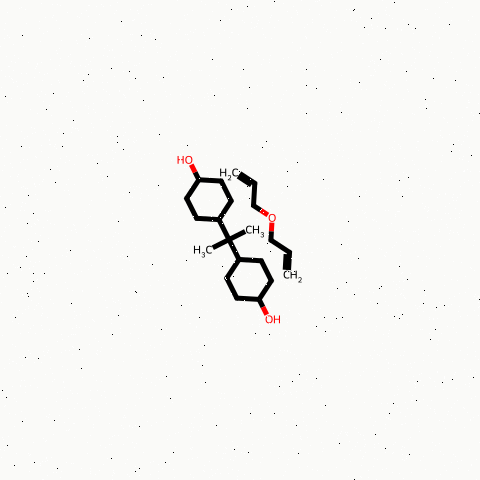 C=CCOCC=C.CC(C)(C1CCC(O)CC1)C1CCC(O)CC1